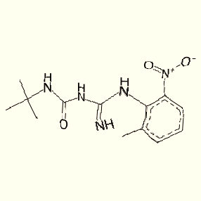 Cc1cccc([N+](=O)[O-])c1NC(=N)NC(=O)NC(C)(C)C